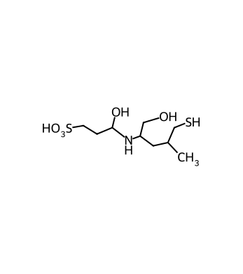 CC(CS)CC(CO)NC(O)CCS(=O)(=O)O